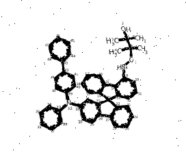 CC(C)(O)C(C)(C)OBc1cccc2c1-c1ccccc1C21c2ccccc2-c2ccc(N(c3ccccc3)c3ccc(-c4ccccc4)cc3)cc21